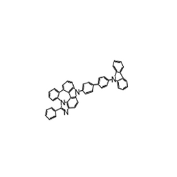 c1ccc(-c2nc3ccc4c5c6c(cccc6n4-c4ccc(-c6ccc(-n7c8ccccc8c8ccccc87)cc6)cc4)c4ccccc4n2c35)cc1